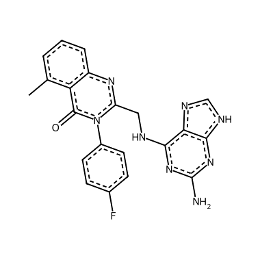 Cc1cccc2nc(CNc3nc(N)nc4[nH]cnc34)n(-c3ccc(F)cc3)c(=O)c12